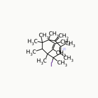 C=C1/C(C)=C(/C)C(C)(I)C2(C)C(C)=C(C)C1(C)C(C)(C)C2C